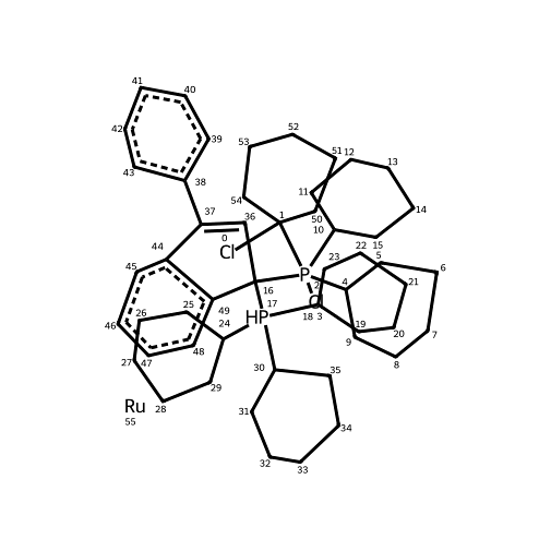 ClC1(P(Cl)(C2CCCCC2)(C2CCCCC2)C2([PH](C3CCCCC3)(C3CCCCC3)C3CCCCC3)C=C(c3ccccc3)c3ccccc32)CCCCC1.[Ru]